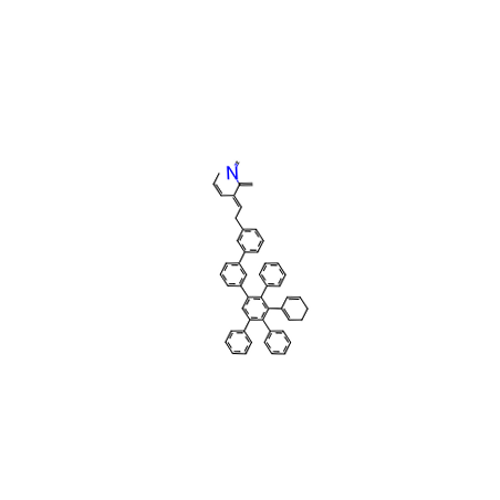 C=NC(=C)C(/C=C\C)=C/Cc1cccc(-c2cccc(-c3cc(-c4ccccc4)c(-c4ccccc4)c(C4=CCCC=C4)c3-c3ccccc3)c2)c1